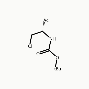 CC(=O)[C@@H](CCl)NC(=O)OC(C)(C)C